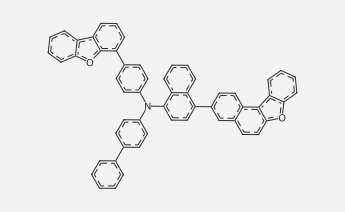 c1ccc(-c2ccc(N(c3ccc(-c4cccc5c4oc4ccccc45)cc3)c3ccc(-c4ccc5c(ccc6oc7ccccc7c65)c4)c4ccccc34)cc2)cc1